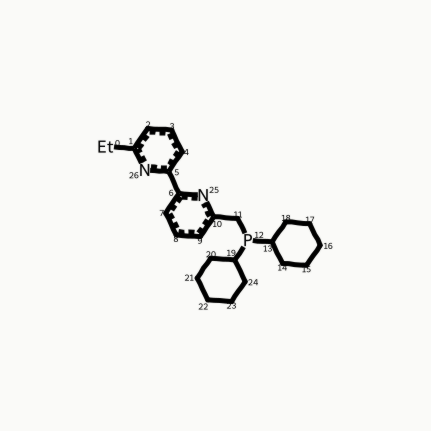 CCc1cccc(-c2cccc(CP(C3CCCCC3)C3CCCCC3)n2)n1